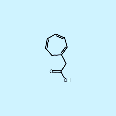 O=C(O)CC1=CC=CC=CC1